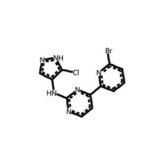 Clc1[nH]ncc1Nc1nccc(-c2cccc(Br)n2)n1